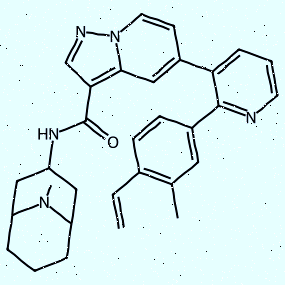 C=Cc1ccc(-c2ncccc2-c2ccn3ncc(C(=O)NC4CC5CCCC(C4)N5C)c3c2)cc1C